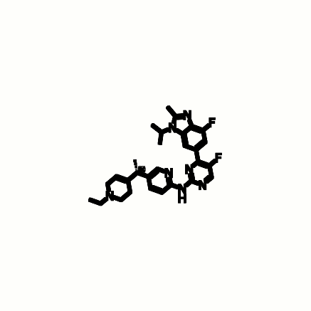 CCN1CC=C([C@H](C)c2ccc(Nc3ncc(F)c(-c4cc(F)c5nc(C)n(C(C)C)c5c4)n3)nc2)CC1